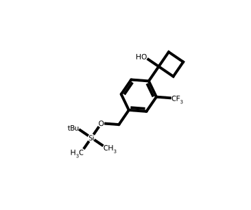 CC(C)(C)[Si](C)(C)OCc1ccc(C2(O)CCC2)c(C(F)(F)F)c1